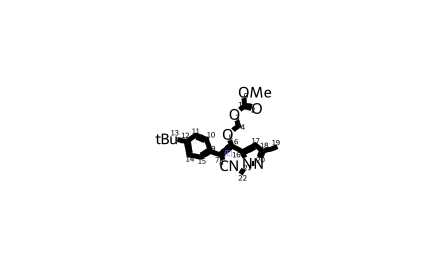 COC(=O)OCO/C(=C(/C#N)c1ccc(C(C)(C)C)cc1)c1cc(C)nn1C